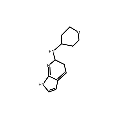 C1=c2cc[nH]c2=NC(NC2CCOCC2)C1